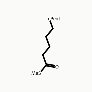 CCCCCCCCCC(=O)SC